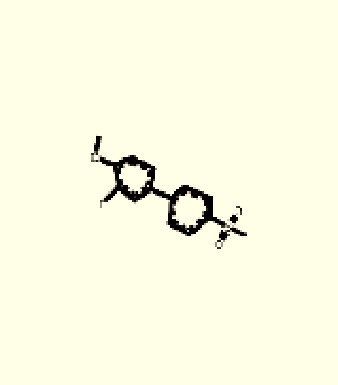 COc1ccc(-c2ccc(S(C)(=O)=O)cc2)cc1F